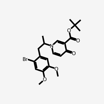 COc1cc(Br)c(CC(C)n2ccc(=O)c(C(=O)OC(C)(C)C)c2)cc1OC